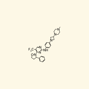 CN1CCN(C2CN(c3ccc(Nc4ncc(C(F)(F)F)c(N5OCCC5c5ccccc5)n4)cc3)C2)CC1